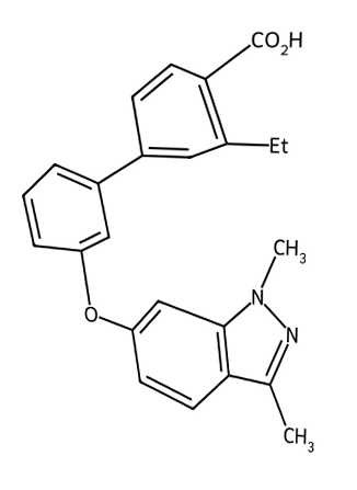 CCc1cc(-c2cccc(Oc3ccc4c(C)nn(C)c4c3)c2)ccc1C(=O)O